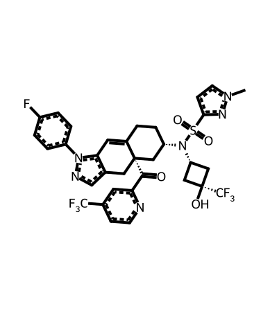 Cn1ccc(S(=O)(=O)N([C@H]2CCC3=Cc4c(cnn4-c4ccc(F)cc4)C[C@]3(C(=O)c3cc(C(F)(F)F)ccn3)C2)[C@H]2C[C@@](O)(C(F)(F)F)C2)n1